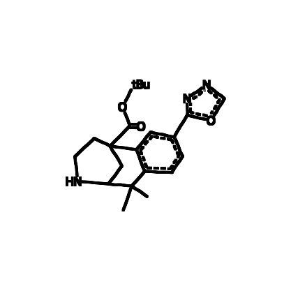 CC(C)(C)OC(=O)C12CCNC(C1)C(C)(C)c1ccc(-c3nnco3)cc12